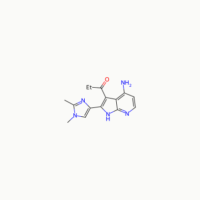 CCC(=O)c1c(-c2cn(C)c(C)n2)[nH]c2nccc(N)c12